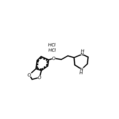 Cl.Cl.c1cc2c(cc1OCCC1CNCCN1)OCO2